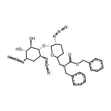 [N-]=[N+]=N[C@H]1C[C@@H](N=[N+]=[N-])[C@H](O)[C@@H](O)[C@@H]1O[C@H]1OC(CN(Cc2ccccc2)C(=O)OCc2ccccc2)CC[C@H]1N=[N+]=[N-]